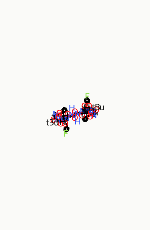 C[C@@H](C(=O)N[C@H](C(=O)N1CC[C@@H]2[C@H]1[C@@H](OCc1ccc(F)cc1)CN2C(=O)CNC(=O)C(=O)NCC(=O)N1C[C@H](OCc2ccc(F)cc2)[C@@H]2[C@H]1CCN2C(=O)[C@@H](NC(=O)[C@H](C)N(C)C(=O)OCc1ccccc1)C(C)(C)C)C(C)(C)C)N(C)C(=O)OCc1ccccc1